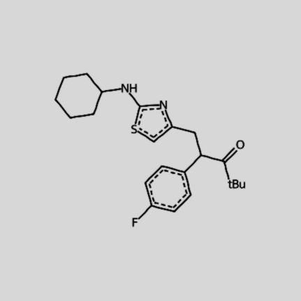 CC(C)(C)C(=O)C(Cc1csc(NC2CCCCC2)n1)c1ccc(F)cc1